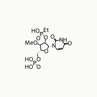 CCP(=O)(O)O[C@@H]1[C@H](OC)[C@@H](COP(=O)(O)O)O[C@H]1n1ccc(=O)[nH]c1=O